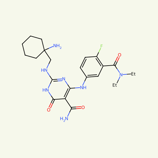 CCN(CC)C(=O)c1cc(Nc2nc(NCC3(N)CCCCC3)[nH]c(=O)c2C(N)=O)ccc1F